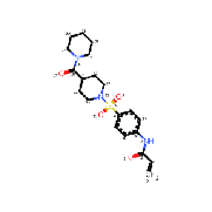 C=CC(=O)Nc1ccc(S(=O)(=O)N2CCC(C(=O)N3CCCCC3)CC2)cc1